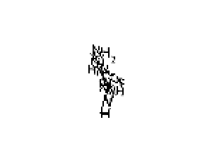 CC1(CN)COC(c2nc(-c3ccc(F)cc3)c(-c3ccnc(NC4CCNCC4)n3)[nH]2)OC1